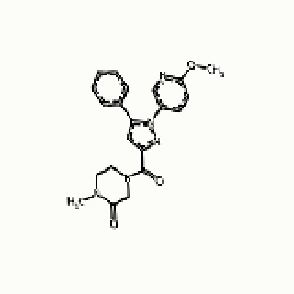 COc1ccc(-n2nc(C(=O)N3CCN(C)C(=O)C3)cc2-c2ccccc2)cn1